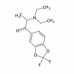 CCN(CC)C(C)C(=O)c1ccc2c(c1)OC(F)(F)O2